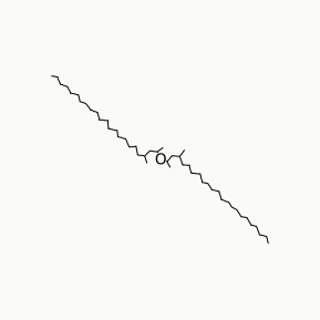 CCCCCCCCCCCCCCCCCCCC(C)CC(C)OC(C)CC(C)CCCCCCCCCCCCCCCCCCC